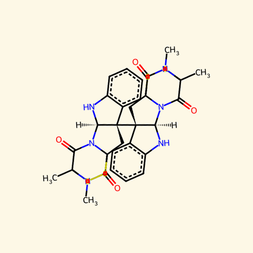 CN1C(=O)C23C[C@]4([C@]56CC78SSC(C)(C(=O)N7[C@H]5Nc5ccccc56)N(C)C8=O)c5ccccc5N[C@@H]4N2C(=O)C1(C)SS3